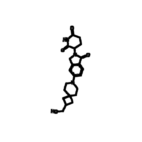 O=C1CCC(N2Cc3cc(N4CCC5(CC4)CC(CO)C5)ccc3C2=O)C(=O)N1